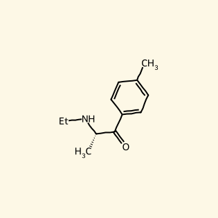 CCN[C@@H](C)C(=O)c1ccc(C)cc1